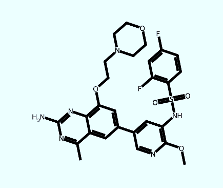 COc1ncc(-c2cc(OCCN3CCOCC3)c3nc(N)nc(C)c3c2)cc1NS(=O)(=O)c1ccc(F)cc1F